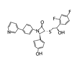 O=C1[C@H](SC[C@H](O)c2ccc(F)cc2F)[C@@H](c2ccc(O)cc2)N1c1ccc(-c2cccnc2)cc1